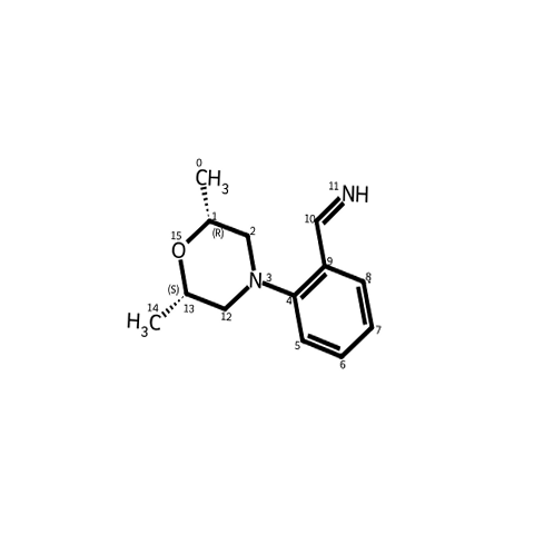 C[C@@H]1CN(c2ccc[c]c2C=N)C[C@H](C)O1